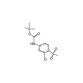 CC(C)(C)OC(=O)Nc1ccc(S(C)(=O)=O)c(Cl)c1